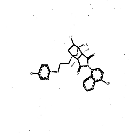 C[C@@]12O[C@@](CCOc3ccc(Cl)cn3)(CC1O)[C@@H]1C(=O)N(c3ccc(C#N)c4ccccc34)C(=O)[C@@H]12